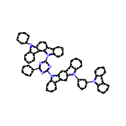 c1ccc(-c2nc(-n3c4ccccc4c4cc5c(cc43)c3ccccc3n5-c3cccc(-n4c5ccccc5c5ccccc54)c3)nc(-n3c4ccccc4c4ccc5c(c6ccccc6n5-c5ccccc5)c43)n2)cc1